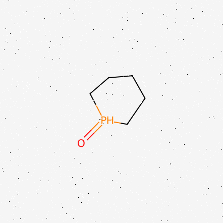 O=[PH]1CCCCC1